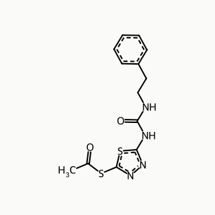 CC(=O)Sc1nnc(NC(=O)NCCc2ccccc2)s1